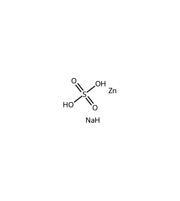 O=S(=O)(O)O.[NaH].[Zn]